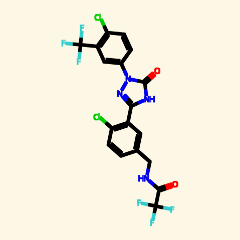 O=C(NCc1ccc(Cl)c(-c2nn(-c3ccc(Cl)c(C(F)(F)F)c3)c(=O)[nH]2)c1)C(F)(F)F